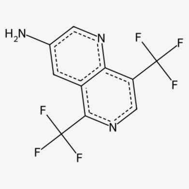 Nc1cnc2c(C(F)(F)F)cnc(C(F)(F)F)c2c1